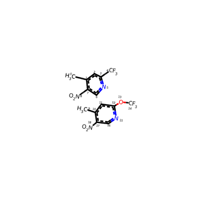 Cc1cc(C(F)(F)F)ncc1[N+](=O)[O-].Cc1cc(OC(F)(F)F)ncc1[N+](=O)[O-]